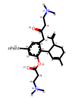 C=C(C)C1CCC(C)=CC1c1c(CC(=O)CCN(C)C)cc(CCCCC)cc1OC(=O)CCN(C)C